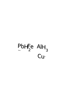 [AlH3].[Cu].[Fe].[PbH2]